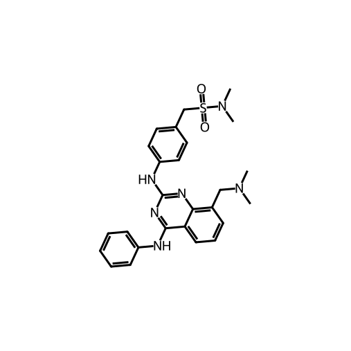 CN(C)Cc1cccc2c(Nc3ccccc3)nc(Nc3ccc(CS(=O)(=O)N(C)C)cc3)nc12